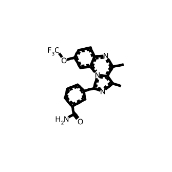 Cc1nc(-c2cccc(C(N)=O)c2)n2c1c(C)nc1ccc(OC(F)(F)F)cc12